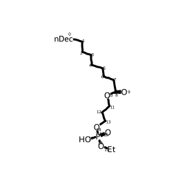 CCCCCCCCCCCCCCCCCC(=O)OCCCOP(=O)(O)OCC